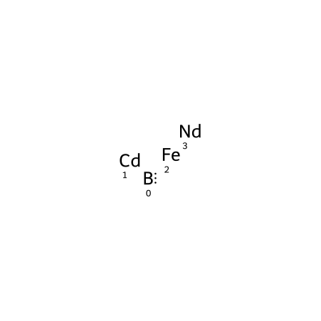 [B].[Cd].[Fe].[Nd]